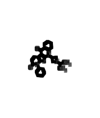 CC(C)N1CC(Nc2sc3c(ccc(=O)n3-c3ccccc3)c2C(=O)c2ccccc2)C1